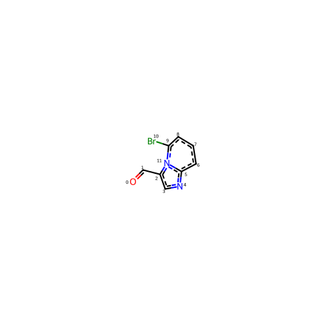 O=Cc1cnc2cccc(Br)n12